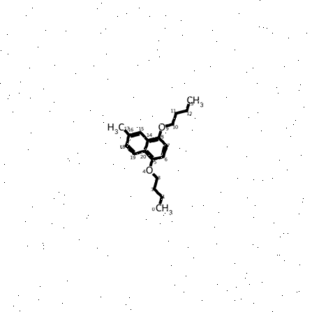 CCCCOc1ccc(OCCCC)c2cc(C)ccc12